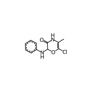 CC1=C(Cl)OC(Nc2ccccc2)C(=O)N1